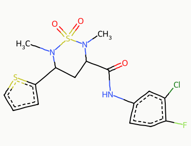 CN1C(C(=O)Nc2ccc(F)c(Cl)c2)CC(c2cccs2)N(C)S1(=O)=O